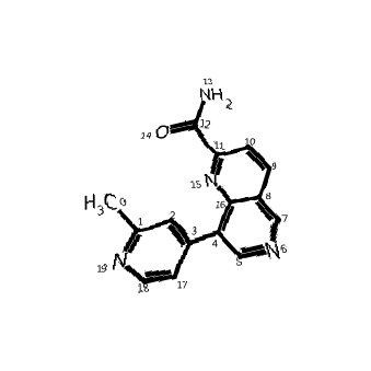 Cc1cc(-c2cncc3ccc(C(N)=O)nc23)ccn1